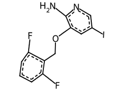 Nc1ncc(I)cc1OCc1c(F)cccc1F